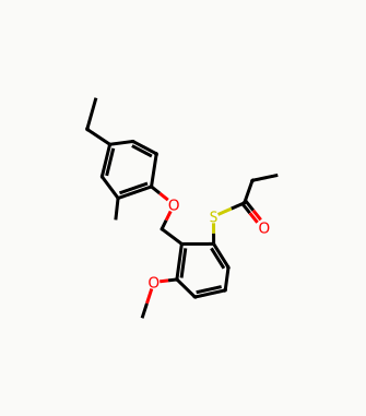 CCC(=O)Sc1cccc(OC)c1COc1ccc(CC)cc1C